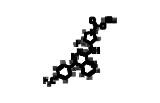 CC(C)(C)OC(=O)N1C[C@@H](F)[C@H](Nc2nnc(-c3ccc(C(F)(F)F)cc3)c3cccnc23)C1